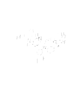 CC(C)(C)NS(=O)(=O)c1cccc(NC(=O)c2ncc(NC(C)(C)CO)nc2-c2ccc(C(F)(F)F)cc2)c1